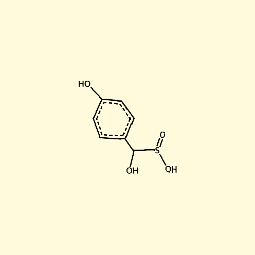 O=S(O)C(O)c1ccc(O)cc1